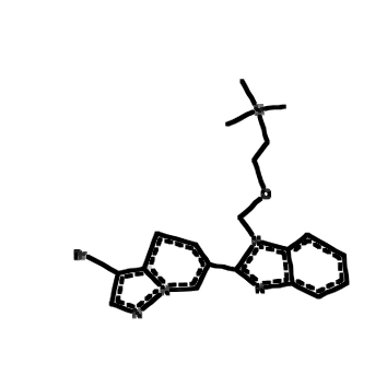 C[Si](C)(C)CCOCn1c(-c2ccc3c(Br)cnn3c2)nc2ccccc21